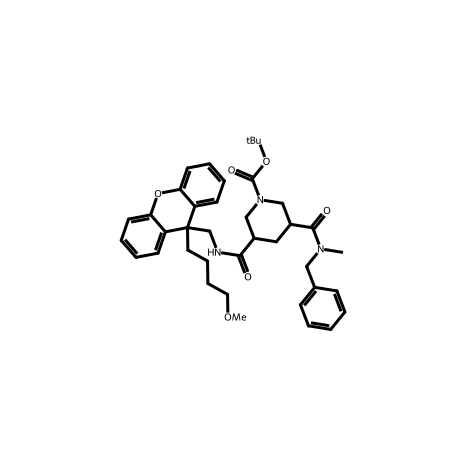 COCCCCC1(CNC(=O)C2CC(C(=O)N(C)Cc3ccccc3)CN(C(=O)OC(C)(C)C)C2)c2ccccc2Oc2ccccc21